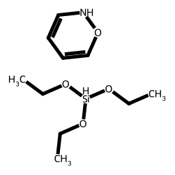 C1=CNOC=C1.CCO[SiH](OCC)OCC